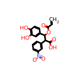 C=CC(=O)OC(c1ccc(O)c(O)c1)C(C(=O)O)c1cccc([N+](=O)[O-])c1